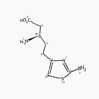 Nc1nc(CC[C@@H](N)CC(=O)O)cs1